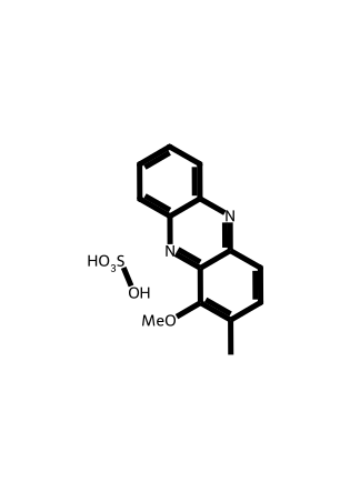 COc1c(C)ccc2nc3ccccc3nc12.O=S(=O)(O)O